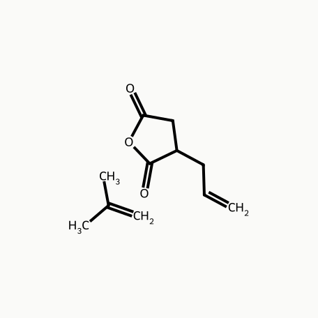 C=C(C)C.C=CCC1CC(=O)OC1=O